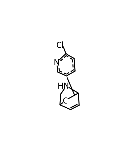 Clc1ccc(C2CC3C=CC2NC3)cn1